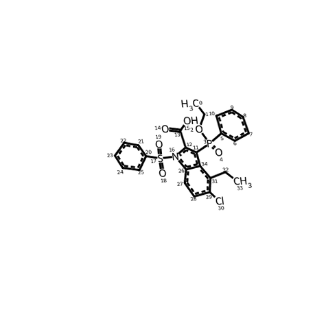 CCOP(=O)(c1ccccc1)c1c(C(=O)O)n(S(=O)(=O)c2ccccc2)c2ccc(Cl)c(CC)c12